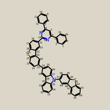 c1ccc(-c2cc(-c3ccccc3)nc(-c3ccc4sc5ccc(-c6ccc7c(c6)c6ccccc6n7-c6ccc7sc8ccccc8c7c6)cc5c4c3)n2)cc1